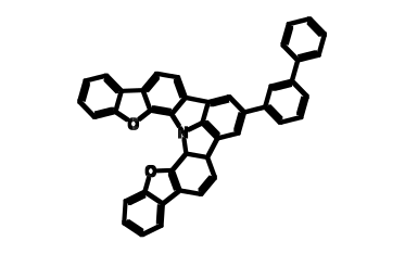 C1=CC2c3cc(-c4cccc(-c5ccccc5)c4)cc4c5ccc6c7ccccc7oc6c5n(c34)C2c2oc3ccccc3c21